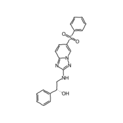 O=S(=O)(c1ccccc1)c1ccc2nc(NC[C@H](O)c3ccccc3)nn2c1